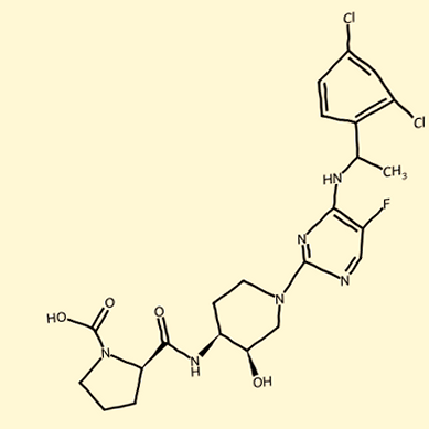 CC(Nc1nc(N2CC[C@H](NC(=O)[C@H]3CCCN3C(=O)O)[C@H](O)C2)ncc1F)c1ccc(Cl)cc1Cl